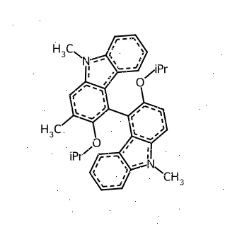 Cc1cc2c(c(-c3c(OC(C)C)ccc4c3c3ccccc3n4C)c1OC(C)C)c1ccccc1n2C